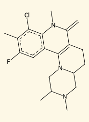 C=C1C2=C(c3cc(F)c(C)c(Cl)c3N1C)N1CC(C)N(C)CC1CC2